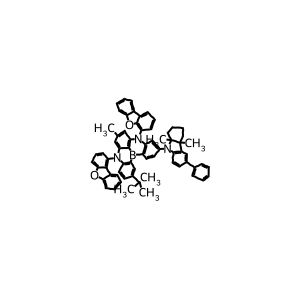 Cc1cc2c3c(c1)N(c1cccc4oc5ccccc5c14)c1ccc(C(C)(C)C)cc1B3c1ccc(N3c4ccc(-c5ccccc5)cc4C4(C)CCCCC34C)cc1N2c1cccc2c1oc1ccccc12